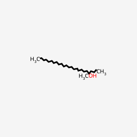 CCCCCCCCCCCCCCCCCCCCC(C)(O)CCCC